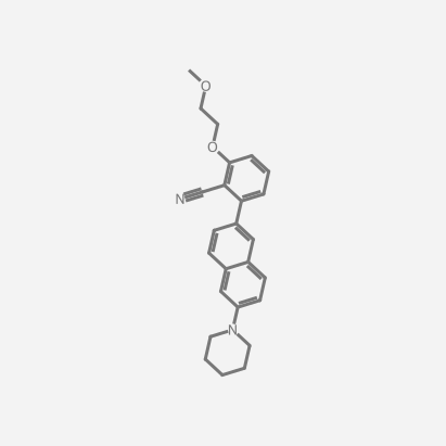 COCCOc1cccc(-c2ccc3cc(N4CCCCC4)ccc3c2)c1C#N